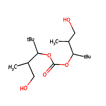 CC(CO)C(OC(=O)OC(C(C)CO)C(C)(C)C)C(C)(C)C